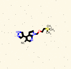 CS(C)(C)CCOCn1ccc2c(-c3cn[nH]c3)c(C#N)cnc21